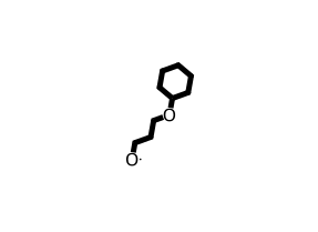 [O]CCCOC1CCCCC1